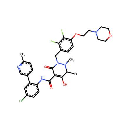 CC(C)C1C(O)=C(C(=O)Nc2ccc(Cl)cc2-c2ccc(C(F)(F)F)nc2)C(=O)N(Cc2ccc(OCCN3CCOCC3)c(F)c2F)N1C